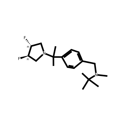 CN(Cc1ccc(C(C)(C)N2C[C@@H](F)[C@H](F)C2)cc1)C(C)(C)C